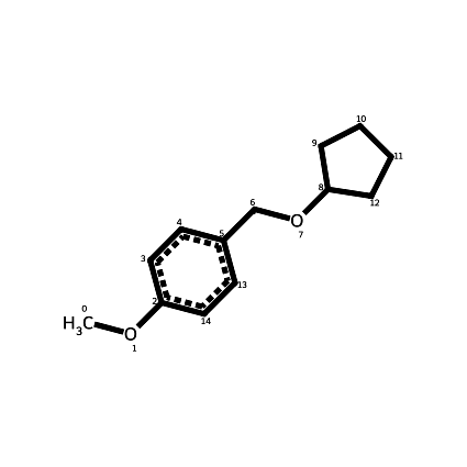 COc1ccc([CH]OC2CCCC2)cc1